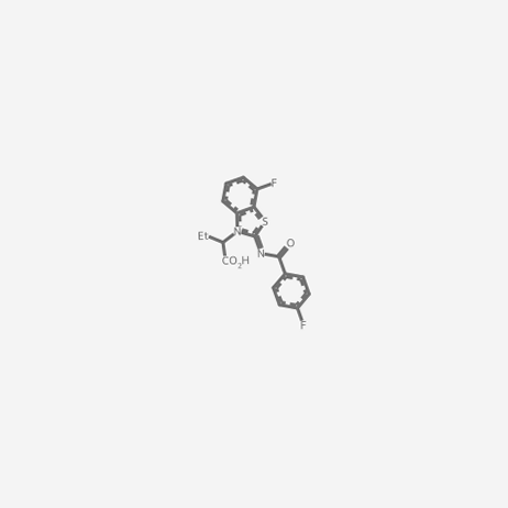 CCC(C(=O)O)n1c(=NC(=O)c2ccc(F)cc2)sc2c(F)cccc21